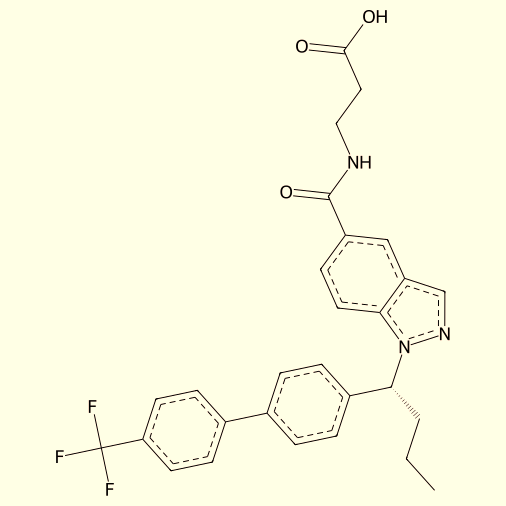 CCC[C@H](c1ccc(-c2ccc(C(F)(F)F)cc2)cc1)n1ncc2cc(C(=O)NCCC(=O)O)ccc21